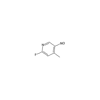 Cc1cc(F)ncc1N=O